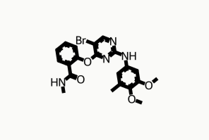 CNC(=O)c1ccccc1Oc1nc(Nc2cc(C)c(OC)c(OC)c2)ncc1Br